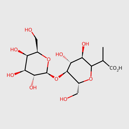 CC(C(=O)O)C1O[C@H](CO)[C@@H](O[C@@H]2O[C@H](CO)[C@H](O)[C@H](O)[C@H]2O)[C@H](O)[C@H]1O